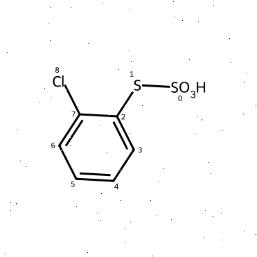 O=S(=O)(O)Sc1ccccc1Cl